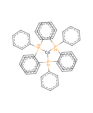 c1ccc([PH](c2ccccc2)(c2ccccc2)[Co]([PH](c2ccccc2)(c2ccccc2)c2ccccc2)[PH](c2ccccc2)(c2ccccc2)c2ccccc2)cc1